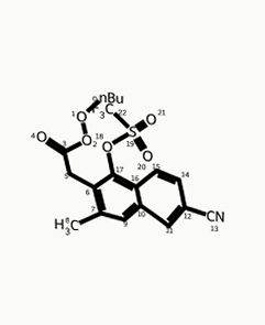 CCCCOOC(=O)Cc1c(C)cc2cc(C#N)ccc2c1OS(=O)(=O)C(F)(F)F